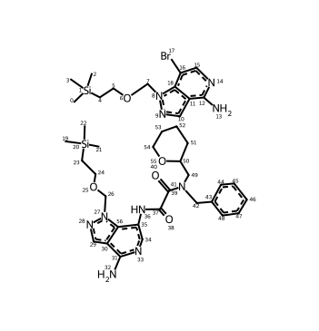 C[Si](C)(C)CCOCn1ncc2c(N)ncc(Br)c21.C[Si](C)(C)CCOCn1ncc2c(N)ncc(NC(=O)C(=O)N(Cc3ccccc3)CC3CCCCO3)c21